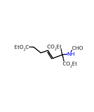 CCOC(=O)CCC=CC(NC=O)(C(=O)OCC)C(=O)OCC